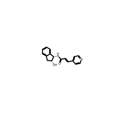 O=C(C=Cc1ccncc1)N[C@H]1c2ccccc2C[C@H]1O